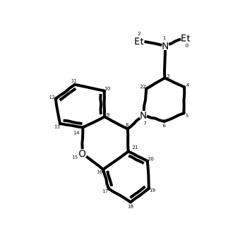 CCN(CC)C1CCCN(C2c3ccccc3Oc3ccccc32)C1